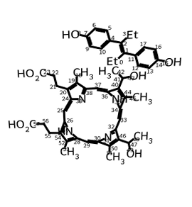 CC/C(=C(/CC)c1ccc(O)cc1)c1ccc(O)cc1.CC1=C(CCC(=O)O)c2cc3[nH]c(cc4nc(cc5[nH]c(cc1n2)c(C(C)O)c5C)C(C(C)O)=C4C)c(C)c3CCC(=O)O